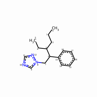 CCCC(CC)C(Cn1cncn1)c1ccccc1